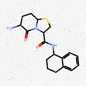 NC1CCC2SCC(C(=O)NC3CCCc4ccccc43)N2C1=O